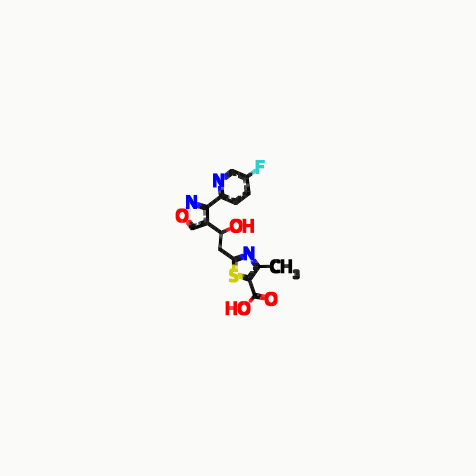 Cc1nc(CC(O)c2conc2-c2ccc(F)cn2)sc1C(=O)O